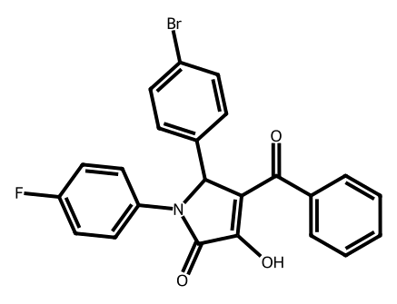 O=C(C1=C(O)C(=O)N(c2ccc(F)cc2)C1c1ccc(Br)cc1)c1ccccc1